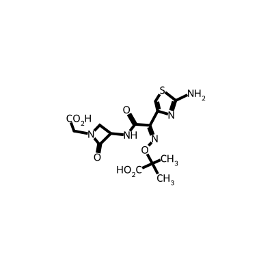 CC(C)(ON=C(C(=O)NC1CN(CC(=O)O)C1=O)c1csc(N)n1)C(=O)O